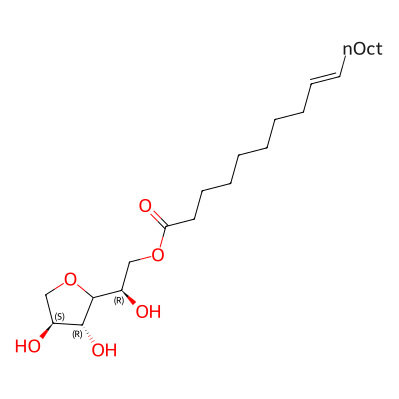 CCCCCCCCC=CCCCCCCCC(=O)OC[C@@H](O)C1OC[C@H](O)[C@H]1O